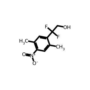 Cc1cc(C(F)(F)CO)c(C)cc1[N+](=O)[O-]